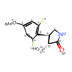 COc1cc(F)c([C@H]2CNC(=O)[C@@H]2C(=O)O)c(F)c1